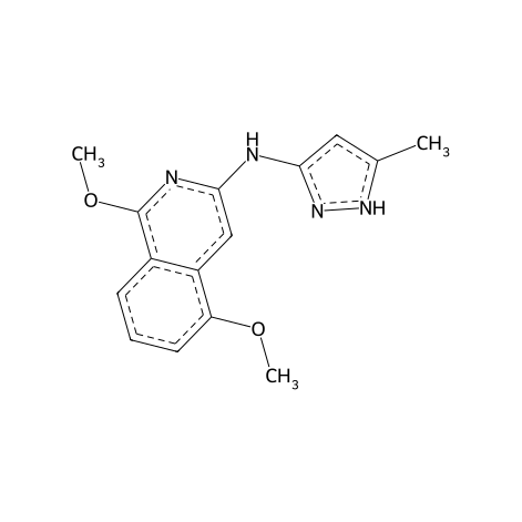 COc1cccc2c(OC)nc(Nc3cc(C)[nH]n3)cc12